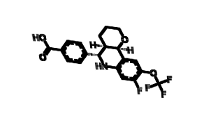 O=C(O)c1ccc([C@H]2Nc3cc(F)c(OC(F)(F)F)cc3[C@@H]3OCCC[C@H]23)cc1